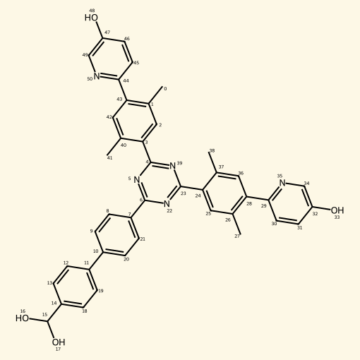 Cc1cc(-c2nc(-c3ccc(-c4ccc(C(O)O)cc4)cc3)nc(-c3cc(C)c(-c4ccc(O)cn4)cc3C)n2)c(C)cc1-c1ccc(O)cn1